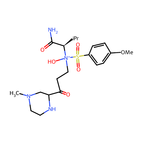 COc1ccc(S(=O)(=O)[N+](O)(CCC(=O)C2CN(C)CCN2)[C@@H](C(N)=O)C(C)C)cc1